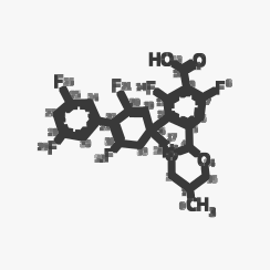 CC1COC(c2cc(F)c(C(=O)O)c(F)c2C2(C#N)C=C(F)C(c3cc(F)cc(F)c3)=C(F)C2)OC1